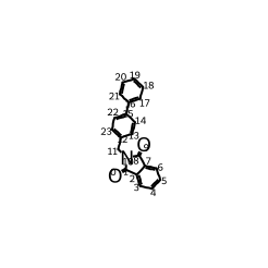 O=C1c2ccccc2C(=O)N1Cc1ccc(-c2ccccc2)cc1